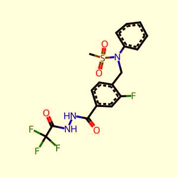 CS(=O)(=O)N(Cc1ccc(C(=O)NNC(=O)C(F)(F)F)cc1F)c1ccccc1